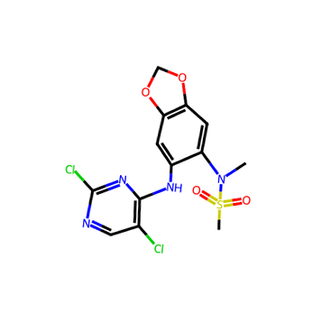 CN(c1cc2c(cc1Nc1nc(Cl)ncc1Cl)OCO2)S(C)(=O)=O